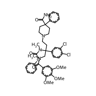 COc1cc(C(=O)N(C)CC(CCN2CCC(C(N)=O)(c3ccccc3)CC2)(c2ccc(Cl)c(Cl)c2)N(C)C(=O)Oc2ccccc2)cc(OC)c1OC